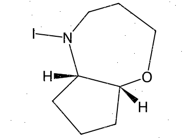 IN1CCCO[C@@H]2CCC[C@@H]21